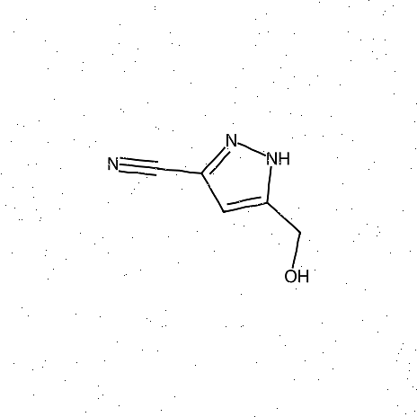 N#Cc1cc(CO)[nH]n1